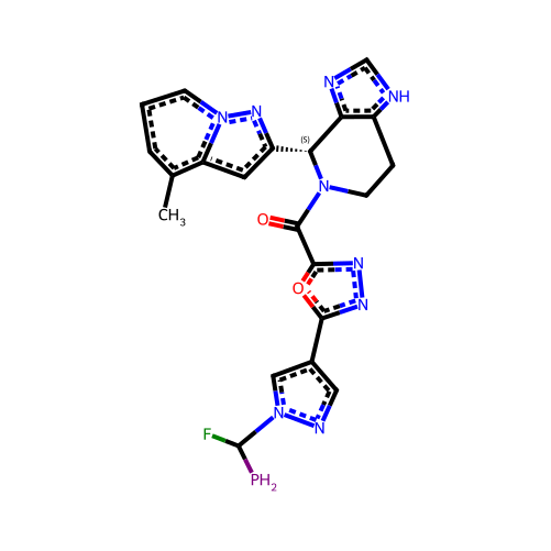 Cc1cccn2nc([C@@H]3c4nc[nH]c4CCN3C(=O)c3nnc(-c4cnn(C(F)P)c4)o3)cc12